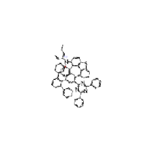 C=C/C=C(\C=C)n1c2ccccc2c2c3c(ccc21)sc1cccc(-c2ccc(-c4c(-c5ccccc5)cccc4-c4ccccc4)cc2-c2nc(-c4ccccc4)nc(-c4ccccc4)n2)c13